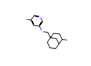 O=C(O)C1CCC2(CNc3cncc(Br)c3)CCCC1C2